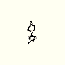 CN1CCN(c2ncn(C)n2)CC1